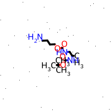 CC(CNC(=O)OCCCCN)NC(=O)OC(C)(C)C